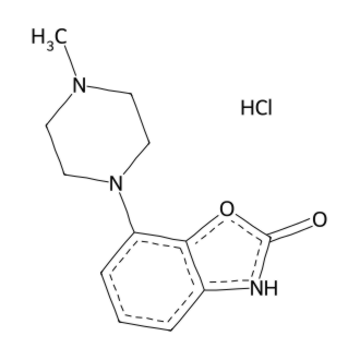 CN1CCN(c2cccc3[nH]c(=O)oc23)CC1.Cl